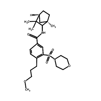 COCCCc1ccc(C(=O)NC2C(C)(C)[C@@H]3CC[C@]2(C)C3)cc1S(=O)(=O)N1CCOCC1